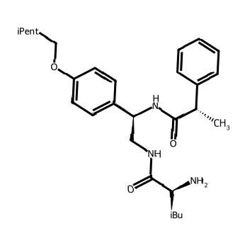 CCCC(C)COc1ccc([C@H](CNC(=O)[C@@H](N)[C@H](C)CC)NC(=O)[C@@H](C)c2ccccc2)cc1